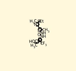 CCOc1cc(-c2cnc(NC(=O)Nc3ccc(CC(C)(C)CO)c(C(F)(F)F)c3)c(C)c2)cnc1C